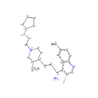 COc1ccc2ncc(F)c([C@H](N)CCC3CCN(CCSC4CCCC4)CC3C(=O)O)c2c1